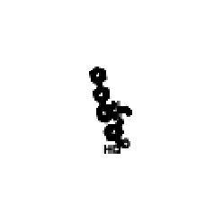 CCc1nc2c(-c3ccc(C4=CCCCC4)cc3)cccc2n1Cc1cccc(C(=O)O)c1